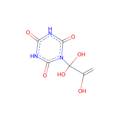 C=C(O)C(O)(O)n1c(=O)[nH]c(=O)[nH]c1=O